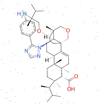 CC(C)[C@@H](C)[C@@]1(C)CC[C@]2(C)[C@H]3CC[C@@H]4[C@@]5(COC[C@@]4(C)[C@@H](OC[C@](C)(N)C(C)C)[C@H](n4ncnc4-c4ccc(F)cc4)C5)C3=CC[C@@]2(C)[C@@H]1C(=O)O